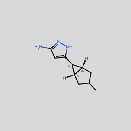 CC1C[C@@H]2[C@H](C1)[C@H]2c1cc(N)n[nH]1